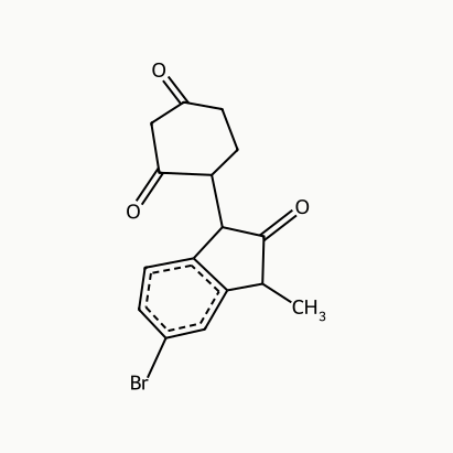 CC1C(=O)C(C2CCC(=O)CC2=O)c2ccc(Br)cc21